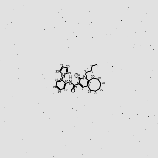 CCCCn1c2c(cc(C(=O)Nc3ccccc3-n3cccc3)c1=O)CCCCCC2